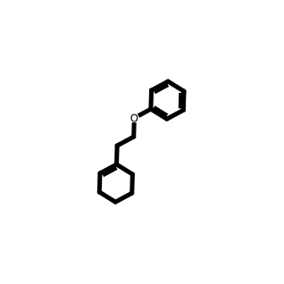 C1=C(CCOc2ccccc2)CCCC1